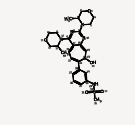 C[C@H]1COCCN1c1nc(N2CCOC[C@@H]2C)c2c(n1)=CN(O)C(c1cccc(NS(C)(=O)=O)c1)=CC=2